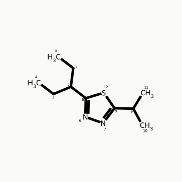 CCC(CC)c1nnc(C(C)C)s1